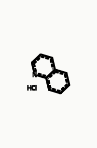 Cl.c1ccc2ncccc2c1